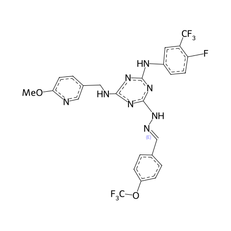 COc1ccc(CNc2nc(N/N=C/c3ccc(OC(F)(F)F)cc3)nc(Nc3ccc(F)c(C(F)(F)F)c3)n2)cn1